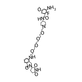 COc1cc(N)c(F)c(C(=O)NC2CCN(CCOCCOCCOCCOCCNc3cccc4c3CN(C3CCC(=O)NC3=O)C4=O)CC2)c1